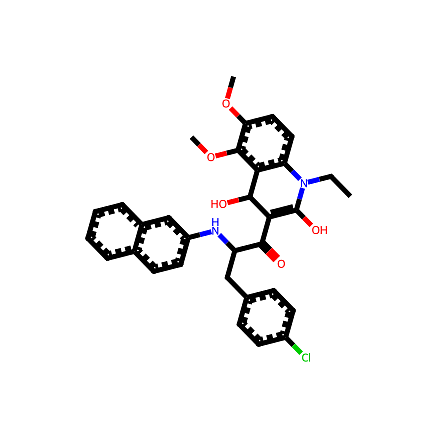 CCN1C(O)=C(C(=O)C(Cc2ccc(Cl)cc2)Nc2ccc3ccccc3c2)C(O)c2c1ccc(OC)c2OC